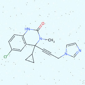 CN1C(=O)Nc2ccc(Cl)cc2C1(C#CCn1ccnc1)C1CC1